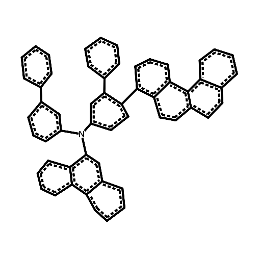 c1ccc(-c2cccc(N(c3ccc(-c4cccc5c4ccc4ccc6ccccc6c45)c(-c4ccccc4)c3)c3cc4ccccc4c4ccccc34)c2)cc1